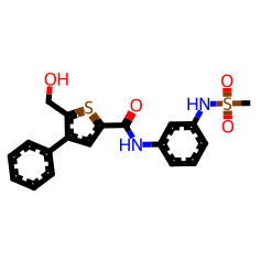 CS(=O)(=O)Nc1cccc(NC(=O)c2cc(-c3ccccc3)c(CO)s2)c1